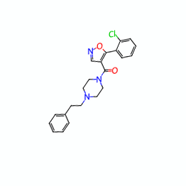 O=C(c1cnoc1-c1ccccc1Cl)N1CCN(CCc2ccccc2)CC1